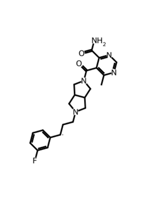 Cc1ncnc(C(N)=O)c1C(=O)N1CC2CN(CC[CH]c3cccc(F)c3)CC2C1